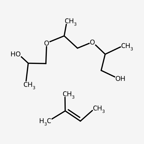 CC(O)COC(C)COC(C)CO.CC=C(C)C